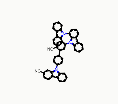 N#Cc1ccc2c3ccccc3n(-c3ccc(-c4cc(-n5c6ccccc6c6cccc(-n7c8ccccc8c8ccccc87)c65)ccc4C#N)cc3)c2c1